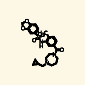 Cc1ccc(C(=O)N2CCCN(CC3CC3)CC2)cc1NS(=O)(=O)c1ccc2c(c1)OCO2